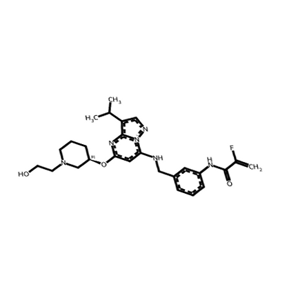 C=C(F)C(=O)Nc1cccc(CNc2cc(O[C@@H]3CCCN(CCO)C3)nc3c(C(C)C)cnn23)c1